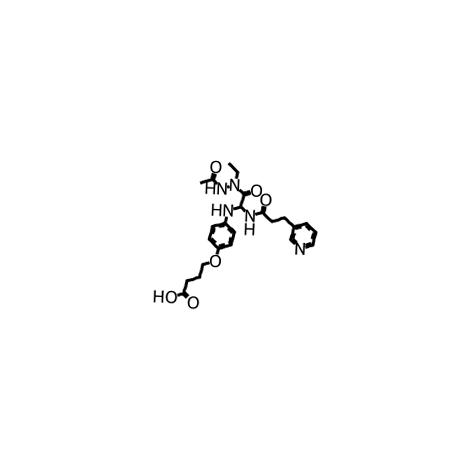 CCN(NC(C)=O)C(=O)C(NC(=O)CCc1cccnc1)Nc1ccc(OCCCC(=O)O)cc1